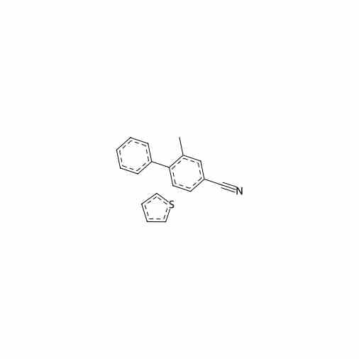 Cc1cc(C#N)ccc1-c1ccccc1.c1ccsc1